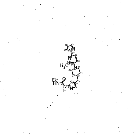 CCNC(=O)Nc1ncc(CC2CCN(c3ccc(-n4cccn4)nc3C)CC2)s1